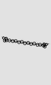 Cc1ccc(S(=O)(=O)OCCOCCOCCOCCOCCOCCOCCOCCOCCOCCOCCOCCOS(=O)(=O)c2ccc(C)cc2)cc1